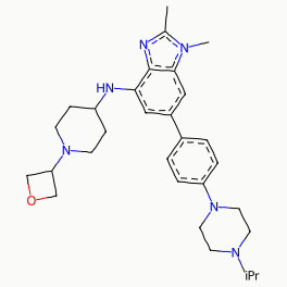 Cc1nc2c(NC3CCN(C4COC4)CC3)cc(-c3ccc(N4CCN(C(C)C)CC4)cc3)cc2n1C